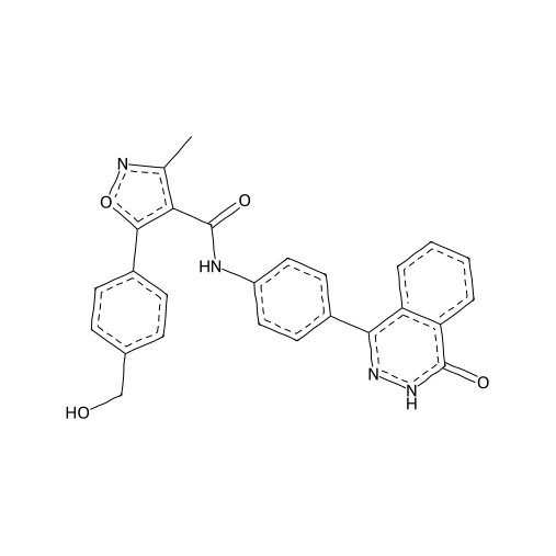 Cc1noc(-c2ccc(CO)cc2)c1C(=O)Nc1ccc(-c2n[nH]c(=O)c3ccccc23)cc1